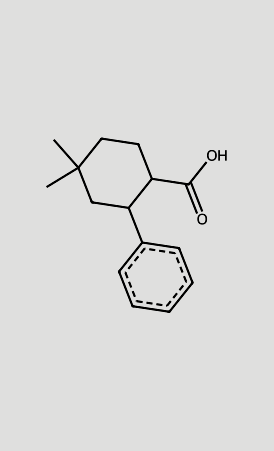 CC1(C)CCC(C(=O)O)C(c2ccccc2)C1